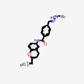 CCCCNN=Cc1ccc(C(=O)Nc2ccc3c(c2)CCC(CC(=O)O)O3)cc1